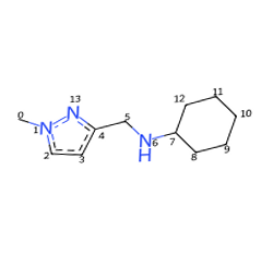 Cn1ccc(CNC2CCCCC2)n1